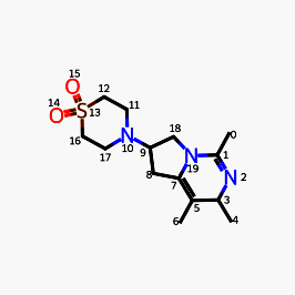 CC1=NC(C)C(C)=C2CC(N3CCS(=O)(=O)CC3)CN12